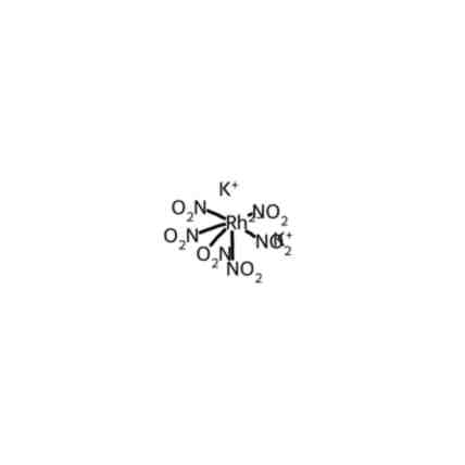 O=[N+]([O-])[Rh-2]([N+](=O)[O-])([N+](=O)[O-])([N+](=O)[O-])([N+](=O)[O-])[N+](=O)[O-].[K+].[K+]